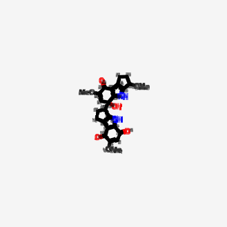 COC1=CC(=O)c2[nH]c3c(c2C1=O)CCC3C1(O)C=C(OC)C(=O)c2c1[nH]c1c2CCC1OC